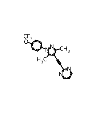 Cc1nn(-c2ccc(OC(F)(F)F)cc2)c(C)c1C#Cc1ncccn1